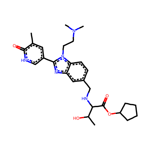 Cc1cc(-c2nc3cc(CNC(C(=O)OC4CCCC4)C(C)O)ccc3n2CCN(C)C)c[nH]c1=O